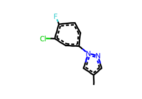 Cc1cnn(-c2ccc(F)c(Cl)c2)c1